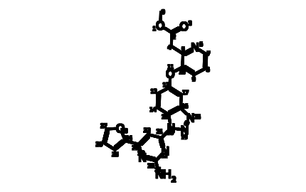 COC(=O)Cc1ncccc1Oc1ccc2c(c1)nnn2-c1cc(-c2ccco2)nc(N)n1